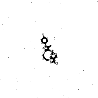 Cc1c2c(nn1[C@H]1CC[C@H](C)CC1)OCCCn1nc(Cl)c3cnc(nc31)N2